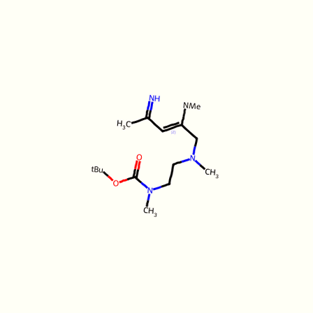 CN/C(=C\C(C)=N)CN(C)CCN(C)C(=O)OC(C)(C)C